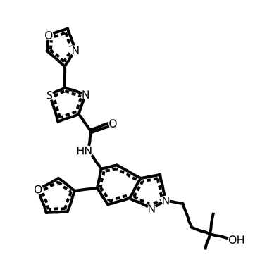 CC(C)(O)CCn1cc2cc(NC(=O)c3csc(-c4cocn4)n3)c(-c3ccoc3)cc2n1